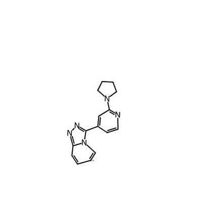 [c]1ccc2nnc(-c3ccnc(N4CCCC4)c3)n2c1